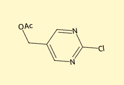 CC(=O)OCc1cnc(Cl)nc1